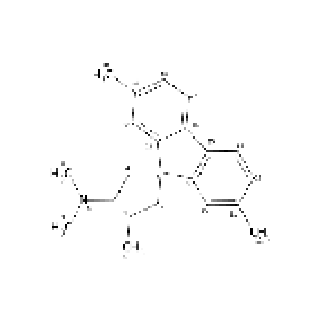 CCCC1(CCN(C)C)c2cc(C)ccc2-c2ccc(C)cc21